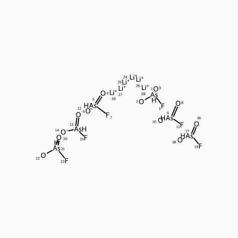 O=[AsH]([O-])F.O=[AsH]([O-])F.O=[AsH]([O-])F.O=[AsH]([O-])F.O=[AsH]([O-])F.O=[AsH]([O-])F.[Li+].[Li+].[Li+].[Li+].[Li+].[Li+]